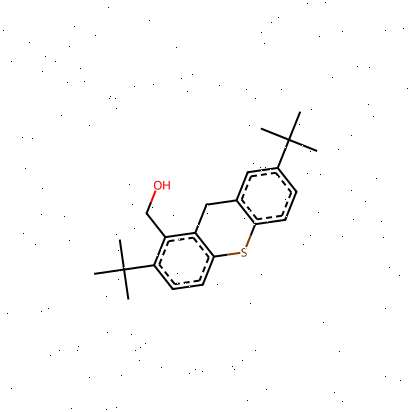 CC(C)(C)c1ccc2c(c1)Cc1c(ccc(C(C)(C)C)c1CO)S2